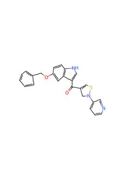 O=C(C1=CSN(c2cccnc2)C1)c1c[nH]c2ccc(OCc3ccccc3)cc12